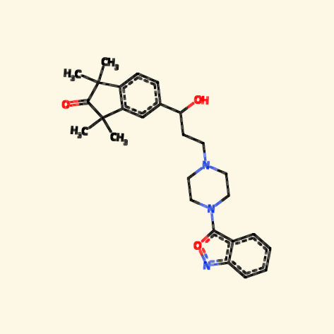 CC1(C)C(=O)C(C)(C)c2cc(C(O)CCN3CCN(c4onc5ccccc45)CC3)ccc21